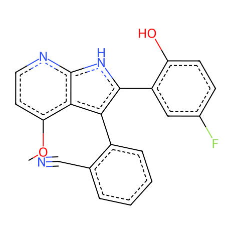 COc1ccnc2[nH]c(-c3cc(F)ccc3O)c(-c3ccccc3C#N)c12